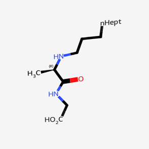 CCCCCCCCCCN[C@H](C)C(=O)NCC(=O)O